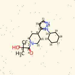 CC(O)(C(=O)N1CCC(c2ccnn2C2CCCCC2)CC1)C(F)(F)F